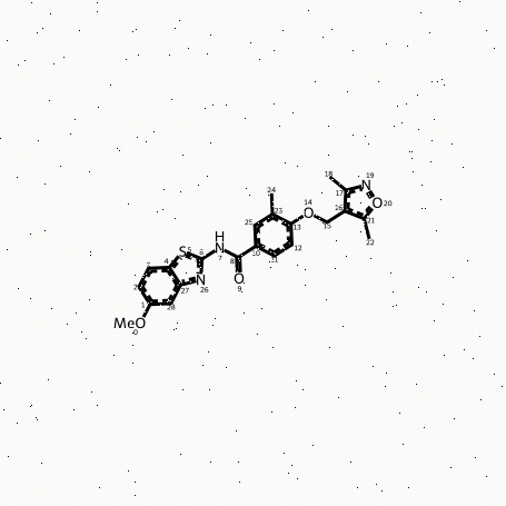 COc1ccc2sc(NC(=O)c3ccc(OCc4c(C)noc4C)c(C)c3)nc2c1